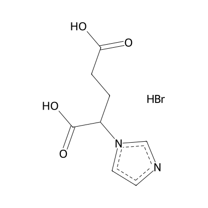 Br.O=C(O)CCC(C(=O)O)n1ccnc1